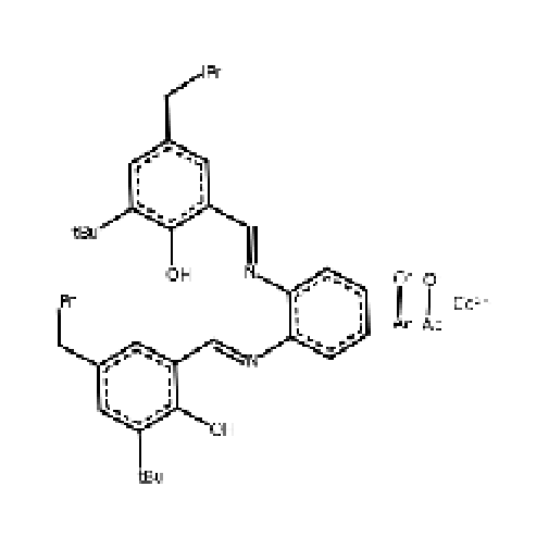 CC(=O)[O-].CC(=O)[O-].CC(C)Cc1cc(C=Nc2ccccc2N=Cc2cc(CC(C)C)cc(C(C)(C)C)c2O)c(O)c(C(C)(C)C)c1.[Co+2]